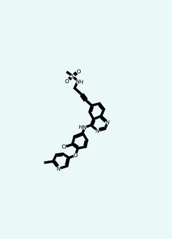 Cc1ccc(Oc2ccc(Nc3ncnc4ccc(C#CCNS(C)(=O)=O)cc34)cc2Cl)cn1